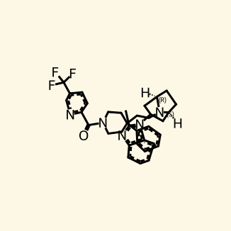 Cc1nc2ccccc2n1C1C[C@H]2CC[C@@H](C1)N2CCC1(c2ccccc2)CCN(C(=O)c2ccc(C(F)(F)F)cn2)CC1